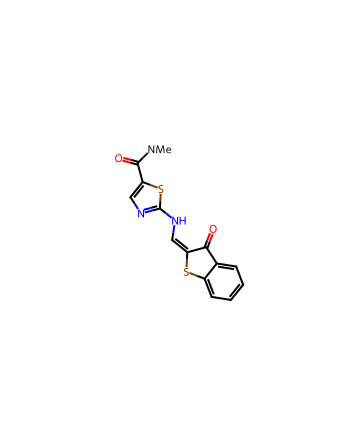 CNC(=O)c1cnc(NC=C2Sc3ccccc3C2=O)s1